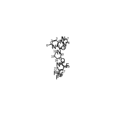 Cc1ccc(-n2nccn2)c(C(=O)N2CCCC(Oc3ncc(C(F)(F)F)cc3F)C2)n1